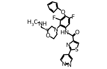 CNC[C@H]1CN(c2c(NC(=O)c3csc(-c4ccnnc4)n3)cc(F)c(Oc3ccccc3)c2F)CCO1